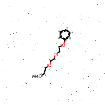 COCCOCCOCCOc1c[c]ccc1